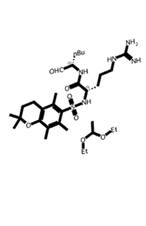 CCCC[C@@H](C=O)NC(=O)[C@H](CCCNC(=N)N)NS(=O)(=O)c1c(C)c(C)c2c(c1C)CCC(C)(C)O2.CCOC(C)OCC